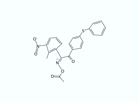 CC(=O)O/N=C(\C(=O)c1ccc(Sc2ccccc2)cc1)c1cccc([N+](=O)[O-])c1C